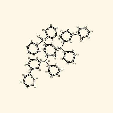 O=P(c1ccccc1)(c1ccccc1)c1cc(N(c2ccccc2)c2cccc(-c3ccccn3)c2)nc(N(c2ccccc2)c2cccc(-c3ccccn3)c2)c1